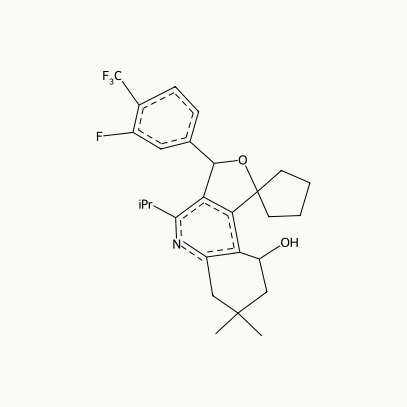 CC(C)c1nc2c(c3c1C(c1ccc(C(F)(F)F)c(F)c1)OC31CCCC1)C(O)CC(C)(C)C2